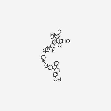 O=CC(=O)C1c2cc(F)c(N3CCN(CC4CCN(CCOc5ccc([C@@H]6c7ccc(O)cc7CC[C@@H]6c6ccccc6)cc5)CC4)CC3)cc2CN1C1CCC(=O)NC1=O